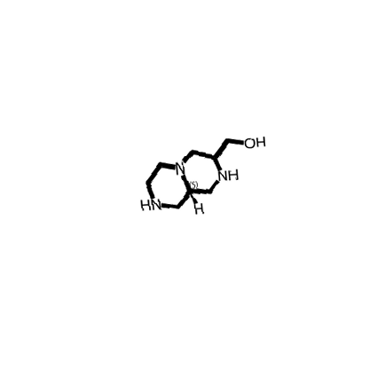 OCC1CN2CCNC[C@H]2CN1